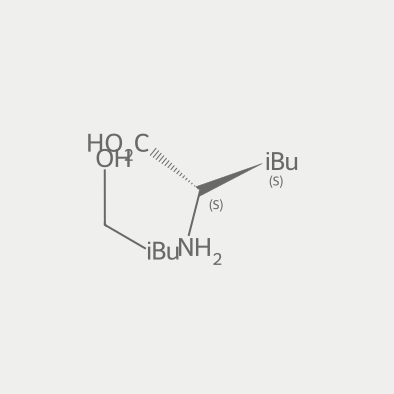 CCC(C)CO.CC[C@H](C)[C@H](N)C(=O)O